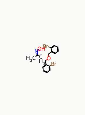 Brc1ccccc1COCc1ccccc1Br.CC(C)=NO